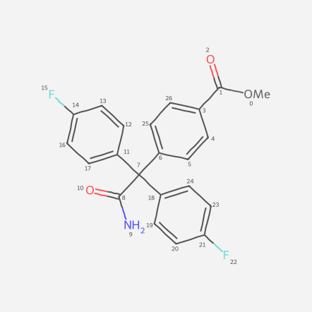 COC(=O)c1ccc(C(C(N)=O)(c2ccc(F)cc2)c2ccc(F)cc2)cc1